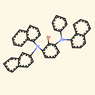 Brc1c(N(c2ccccc2)c2cccc3ccccc23)cccc1N(c1ccc2ccccc2c1)c1cccc2ccccc12